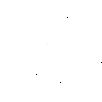 CC(C)(C)OC(=O)N1CC[C@H](C2(C)CCCCC2)C1